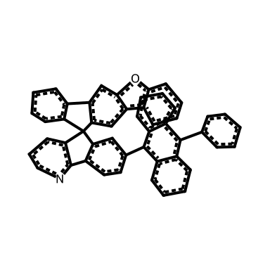 c1ccc(-c2c3ccccc3c(-c3ccc4c(c3)C3(c5ccccc5-c5cc6oc7ccccc7c6cc53)c3cccnc3-4)c3ccccc23)cc1